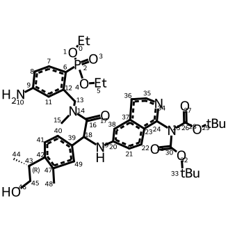 CCOP(=O)(OCC)c1ccc(N)cc1CN(C)C(=O)C(Nc1ccc2c(N(C(=O)OC(C)(C)C)C(=O)OC(C)(C)C)nccc2c1)c1ccc([C@@H](C)CO)c(C)c1